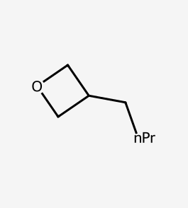 CCCCC1COC1